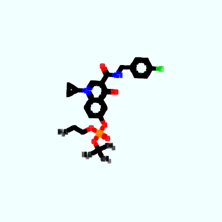 CCCOP(=O)(Oc1ccc2c(c1)c(=O)c(C(=O)NCc1ccc(Cl)cc1)cn2C1CC1)OC(C)(C)C